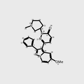 COc1ccn2nc(-c3ccccc3)c(-c3ccc(=O)n(C4CCCN(C)C4)n3)c2c1